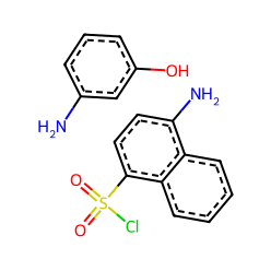 Nc1ccc(S(=O)(=O)Cl)c2ccccc12.Nc1cccc(O)c1